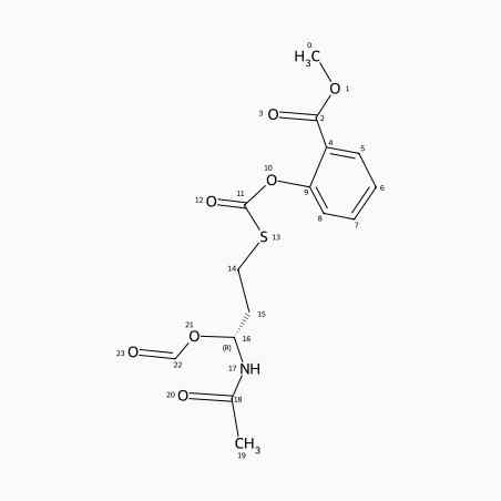 COC(=O)c1ccccc1OC(=O)SCC[C@H](NC(C)=O)OC=O